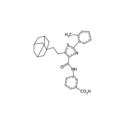 Cc1ccccc1-c1nc(C(=O)Nc2cccc(C(=O)O)c2)c(CCC23CC4CC(CC(C4)C2)C3)s1